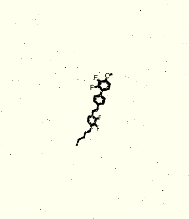 CCCCCc1ccc(/C=C/c2ccc(-c3ccc(OC)c(F)c3F)cc2)c(F)c1F